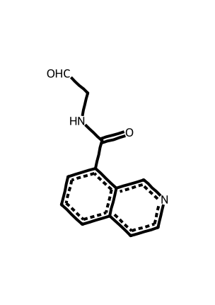 O=CCNC(=O)c1cccc2ccncc12